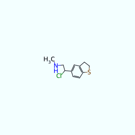 CNCC(Cl)c1ccc2c(c1)CCS2